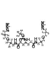 CC(C)(CN=[N+]=[N-])COCC(C)(C)CNC(=O)CCC(CCC(=O)NCC(C)(C)COCC(C)(C)CN=[N+]=[N-])NC(=O)OC(C)(C)C